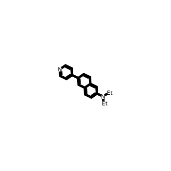 CCN(CC)c1ccc2cc(-c3ccncc3)ccc2c1